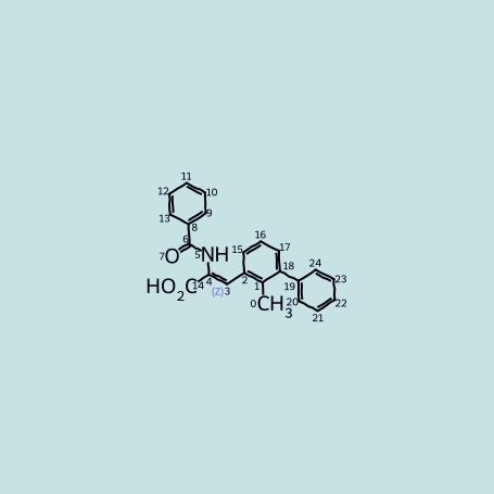 Cc1c(/C=C(\NC(=O)c2ccccc2)C(=O)O)cccc1-c1ccccc1